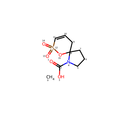 C.O=C(O)N1CCCC12CC=CS(=O)(=O)O2